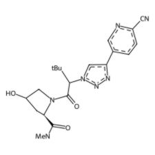 CNC(=O)[C@H]1CC(O)CN1C(=O)C(n1cc(-c2ccc(C#N)nc2)nn1)C(C)(C)C